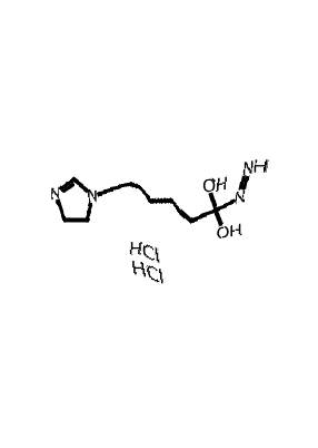 Cl.Cl.N=NC(O)(O)CCCCN1C=NCC1